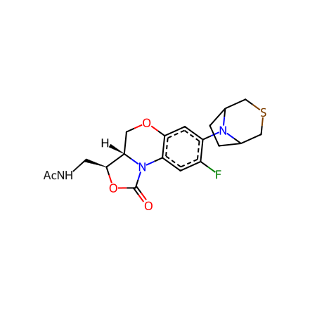 CC(=O)NC[C@@H]1OC(=O)N2c3cc(F)c(N4C5CCC4CSC5)cc3OC[C@@H]12